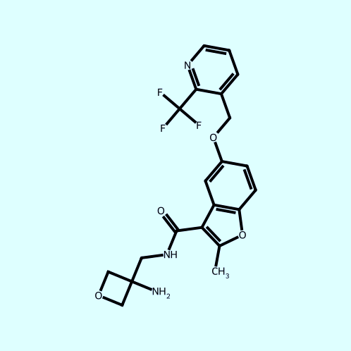 Cc1oc2ccc(OCc3cccnc3C(F)(F)F)cc2c1C(=O)NCC1(N)COC1